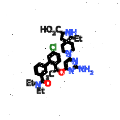 CCC1NC(C(=O)O)CC12CCN(c1cc(O[C@H](c3ccc(Cl)cc3-c3cccc(C(=O)N(CC)CC)c3)C(F)(F)F)nc(N)n1)CC2